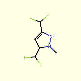 CN1NC(C(F)F)=CC1C(F)F